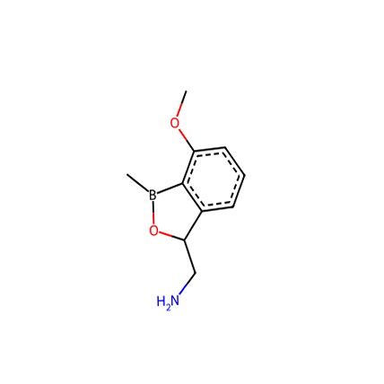 COc1cccc2c1B(C)OC2CN